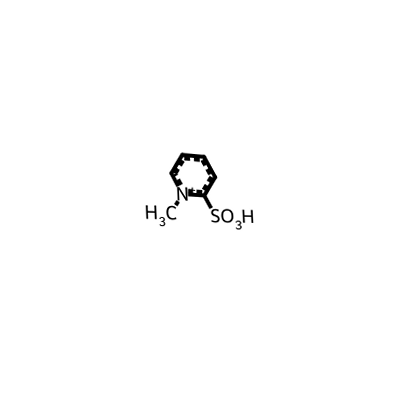 C[n+]1ccccc1S(=O)(=O)O